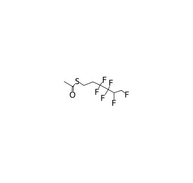 CC(=O)SCCC(F)(F)C(F)(F)C(F)CF